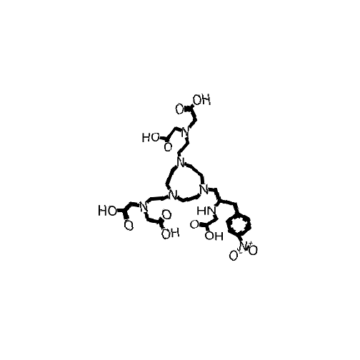 O=C(O)CNC(Cc1ccc([N+](=O)[O-])cc1)CN1CCN(CCN(CC(=O)O)CC(=O)O)CCN(CCN(CC(=O)O)CC(=O)O)CC1